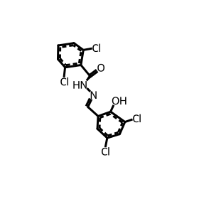 O=C(N/N=C/c1cc(Cl)cc(Cl)c1O)c1c(Cl)cccc1Cl